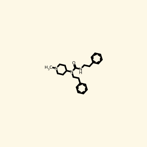 CN1CCC(N(CCc2ccccc2)C(=O)NCCc2ccccc2)CC1